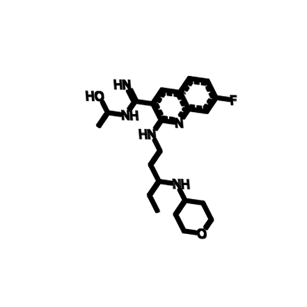 CCC(CCNc1nc2cc(F)ccc2cc1C(=N)NC(C)O)NC1CCOCC1